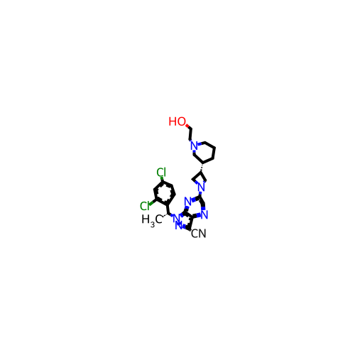 C[C@H](c1ccc(Cl)cc1Cl)n1nc(C#N)c2ncc(N3CC([C@H]4CCCN(CCO)C4)C3)nc21